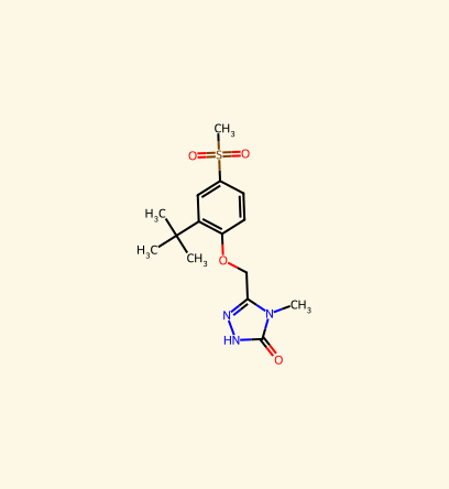 Cn1c(COc2ccc(S(C)(=O)=O)cc2C(C)(C)C)n[nH]c1=O